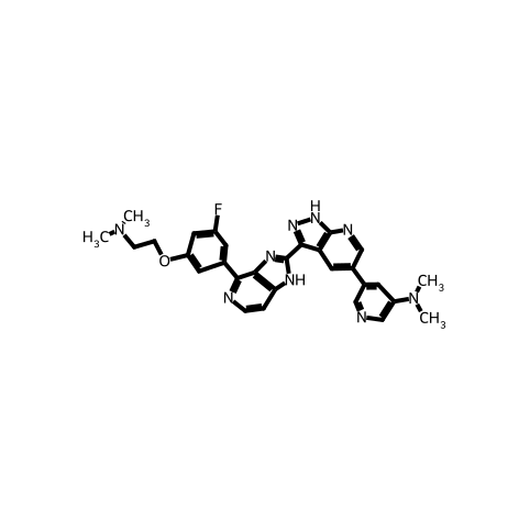 CN(C)CCOc1cc(F)cc(-c2nccc3[nH]c(-c4n[nH]c5ncc(-c6cncc(N(C)C)c6)cc45)nc23)c1